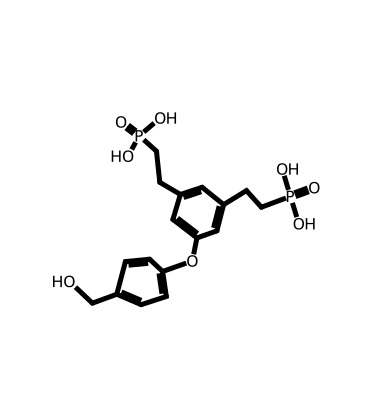 O=P(O)(O)CCc1cc(CCP(=O)(O)O)cc(Oc2ccc(CO)cc2)c1